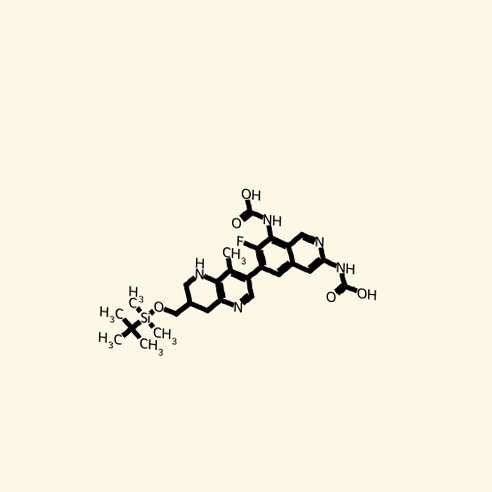 Cc1c(-c2cc3cc(NC(=O)O)ncc3c(NC(=O)O)c2F)cnc2c1NCC(CO[Si](C)(C)C(C)(C)C)C2